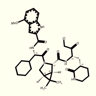 COc1cccc2[nH]c(C(=O)N[C@H](C(=O)N3C[C@H]4[C@@H]([C@H]3C(=O)N[C@@H](C[C@@H]3CCCNC3=O)C(=O)CCl)C4(C)C)C3CCCCC3)cc12